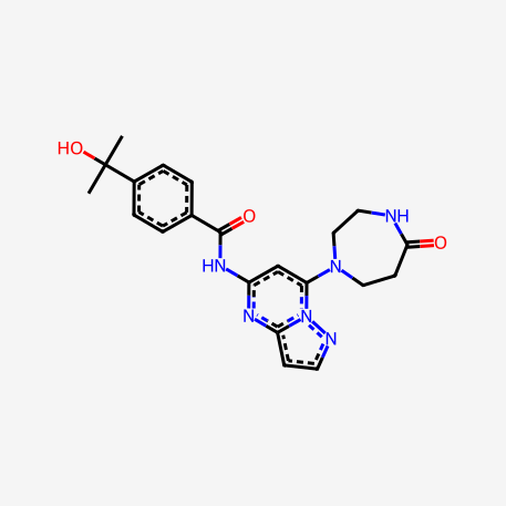 CC(C)(O)c1ccc(C(=O)Nc2cc(N3CCNC(=O)CC3)n3nccc3n2)cc1